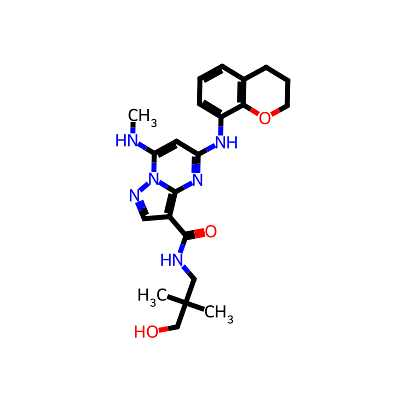 CNc1cc(Nc2cccc3c2OCCC3)nc2c(C(=O)NCC(C)(C)CO)cnn12